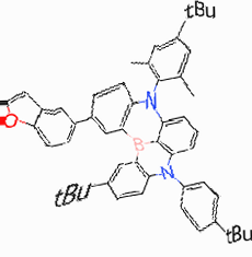 Cc1cc(C(C)(C)C)cc(C)c1N1c2ccc(-c3ccc4occc4c3)cc2B2c3cc(C(C)(C)C)ccc3N(c3ccc(C(C)(C)C)cc3)c3cccc1c32